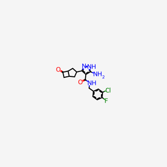 Nc1[nH]nc(C2CC3CC(=O)C3C2)c1C(=O)NCc1ccc(F)c(Cl)c1